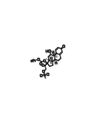 CCCOC(=O)O[C@]1(C(=O)COS(C)(=O)=O)CC[C@H]2[C@@H]3CCC4=CC(=O)C=C[C@]4(C)[C@H]3C(O)C[C@@]21C